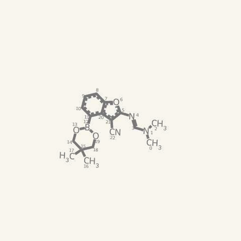 CN(C)/C=N/c1oc2cccc(B3OCC(C)(C)CO3)c2c1C#N